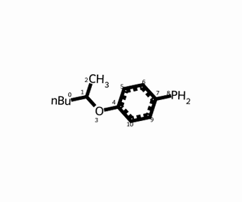 CCCCC(C)Oc1ccc(P)cc1